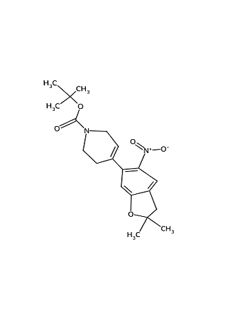 CC(C)(C)OC(=O)N1CC=C(c2cc3c(cc2[N+](=O)[O-])CC(C)(C)O3)CC1